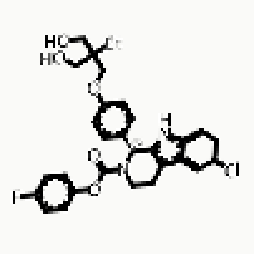 CCC(CO)(CO)COc1ccc([C@H]2c3[nH]c4c(c3CCN2C(=O)Oc2ccc(F)cc2)=CC(Cl)CC=4)cc1